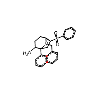 NC1CCC2C(S(=O)(=O)c3ccccc3)CC1(c1ccccc1)N2Cc1ccccc1